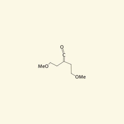 COCCC(=C=O)CCOC